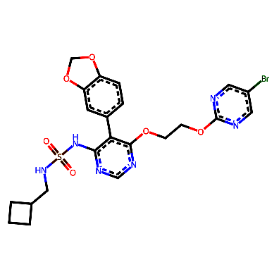 O=S(=O)(NCC1CCC1)Nc1ncnc(OCCOc2ncc(Br)cn2)c1-c1ccc2c(c1)OCO2